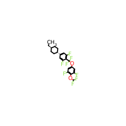 CC[C@H]1CC[C@H](c2cc(F)c(C(F)(F)Oc3cc(F)c(OC(F)F)c(F)c3)c(F)c2)CC1